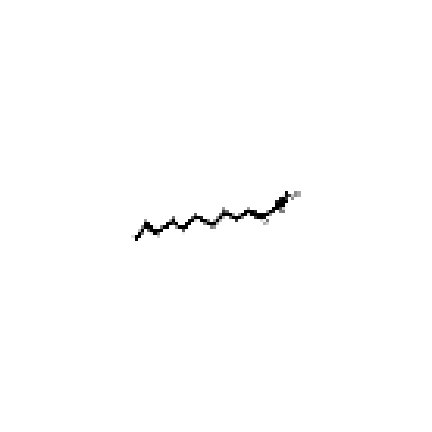 CC=CCCCCCCC=CC#N